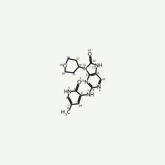 Cc1c[nH]c(=O)c(Nc2ncc3[nH]c(=O)n(C4CCOCC4)c3n2)c1